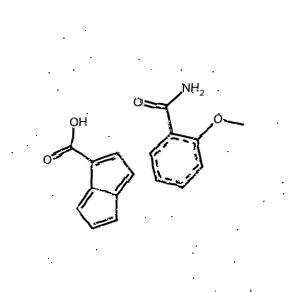 COc1ccccc1C(N)=O.O=C(O)C1=CC=C2C=CC=C21